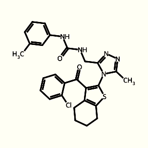 Cc1cccc(NC(=O)NCc2nnc(C)n2-c2sc3c(c2C(=O)c2ccccc2Cl)CCCC3)c1